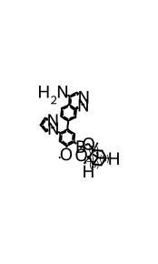 COc1cc(-n2cccn2)c(-c2ccc3c(N)cnnc3c2)cc1B1O[C@]2(C)C[C@@H]3C[C@@H](C3(C)C)[C@]2(C)O1